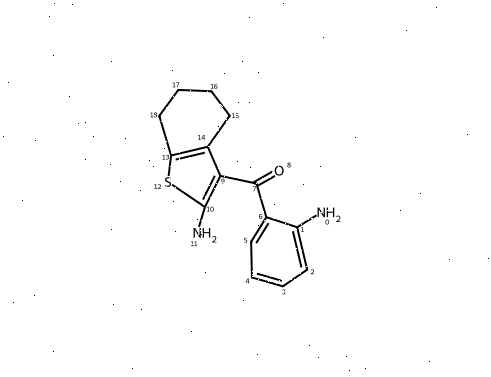 Nc1ccccc1C(=O)c1c(N)sc2c1CCCC2